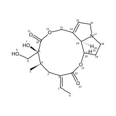 C/C=C1/C[C@@H](C)[C@](O)(CO)C(=O)OCC2=CCN3CC[C@@H](OC1=O)[C@@H]23